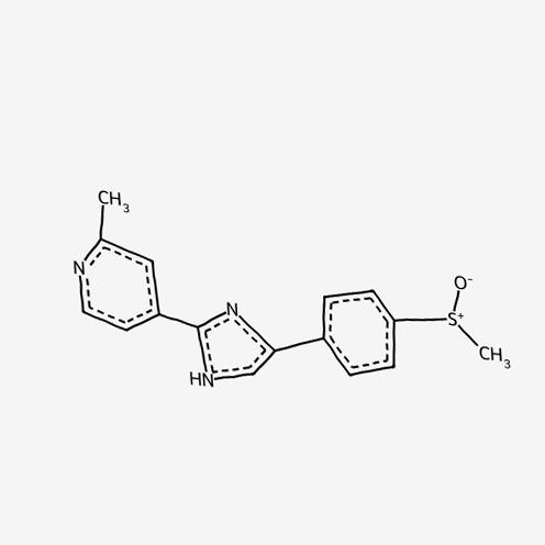 Cc1cc(-c2nc(-c3ccc([S+](C)[O-])cc3)c[nH]2)ccn1